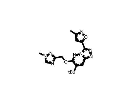 Cc1cc(-c2nnc3cc(C(C)(C)C)c(OCc4ncn(C)n4)nn23)on1